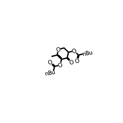 CCCCC(=O)OC1=C(C)OCC(OC(=O)CCCC)C1=O